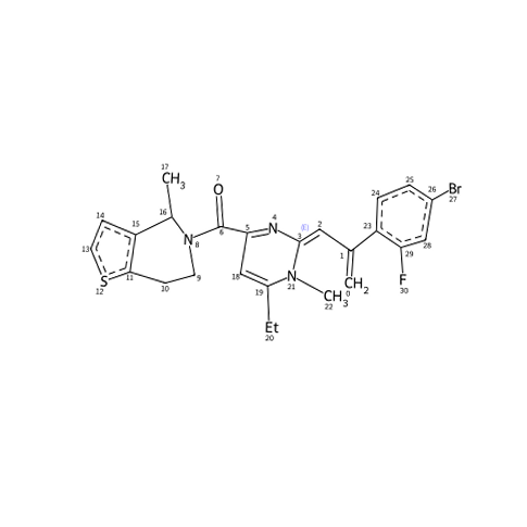 C=C(/C=C1/N=C(C(=O)N2CCc3sccc3C2C)C=C(CC)N1C)c1ccc(Br)cc1F